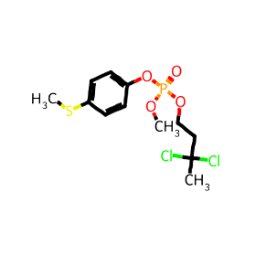 COP(=O)(OCCC(C)(Cl)Cl)Oc1ccc(SC)cc1